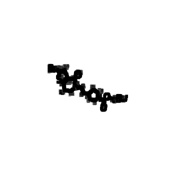 CC(C)(C)OC(=O)N1CCC(CCN2CCc3sc(Br)cc3C2=O)CC1